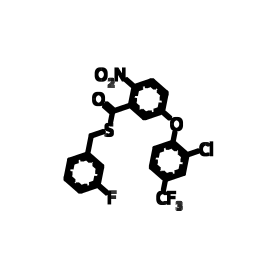 O=C(SCc1cccc(F)c1)c1cc(Oc2ccc(C(F)(F)F)cc2Cl)ccc1[N+](=O)[O-]